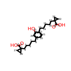 O=C(O)C1(CCCCCc2ccc(CCCCCC3(C(=O)O)CC3)c(O)c2)CC1